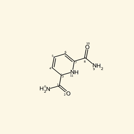 NC(=O)[C]1C=CC=C(C(N)=O)N1